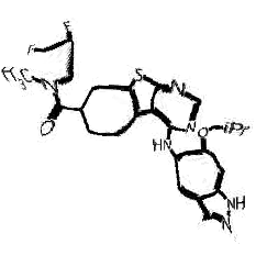 CC(C)Oc1cc2[nH]ncc2cc1Nc1ncnc2sc3c(c12)CCC(C(=O)N(C)CC(F)F)C3